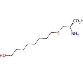 N[C@@H](CSCCCCCCCCO)C(=O)O